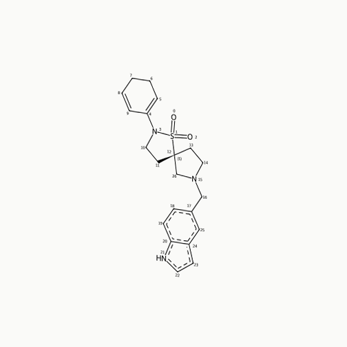 O=S1(=O)N(C2=CCCC=C2)CC[C@]12CCN(Cc1ccc3[nH]ccc3c1)C2